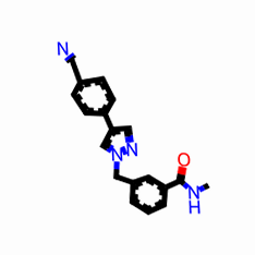 CNC(=O)c1cccc(Cn2cc(-c3ccc(C#N)cc3)cn2)c1